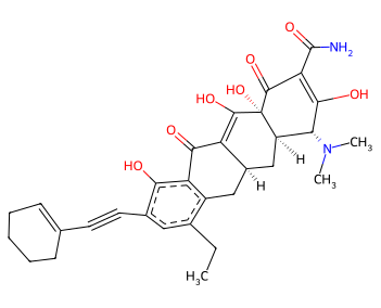 CCc1cc(C#CC2=CCCCC2)c(O)c2c1C[C@@H]1C[C@@H]3[C@@H](N(C)C)C(O)=C(C(N)=O)C(=O)[C@]3(O)C(O)=C1C2=O